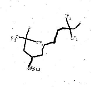 CCCCC(CCCCC(F)(C(F)(F)F)C(F)(F)F)CC(F)(C(F)(F)F)C(F)(F)F